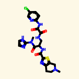 CN1CCc2nc(C(=O)NC(CNC(=O)C(=O)Nc3ccc(Cl)cn3)C(=O)N(C)c3ncc[nH]3)sc2C1